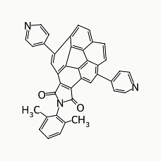 Cc1cccc(C)c1-n1c(=O)c2c3cc(-c4ccncc4)c4ccc5ccc6c(-c7ccncc7)cc(c2c1=O)c1c6c5c4c31